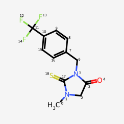 CN1CC(=O)N(Cc2ccc(C(F)(F)F)cc2)C1=S